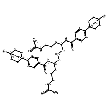 CC(C)C12CCC(c3ccc(C(=O)NC(CCCNC(=N)N)OBOC(CCCNC(=N)N)NC(=O)c4ccc(C56CCC(C(C)C)(CC5)CC6)cc4)cc3)(CC1)CC2